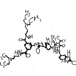 CCN(CC)CCCNC(=O)c1cc(NC(=O)c2ccc(NN(C)C(C(C)=O)C(=O)Nc3ccc4[nH]c(=O)[nH]c4c3)cc2)cc(C(=O)NCCCN(CC)CC)c1